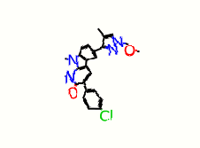 COCn1cc(C)c(-c2ccc3c(c2)c2cc(-c4ccc(Cl)cc4)c(=O)n(C)c2n3C)n1